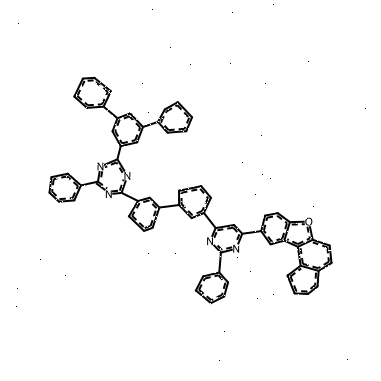 c1ccc(-c2cc(-c3ccccc3)cc(-c3nc(-c4ccccc4)nc(-c4cccc(-c5cccc(-c6cc(-c7ccc8oc9ccc%10ccccc%10c9c8c7)nc(-c7ccccc7)n6)c5)c4)n3)c2)cc1